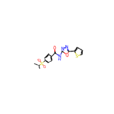 CC(C)S(=O)(=O)c1ccc(C(=O)Nc2nnc(-c3cccs3)o2)cc1